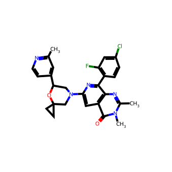 Cc1cc(C2CN(c3cc4c(=O)n(C)c(C)nc4c(-c4ccc(Cl)cc4F)n3)CC3(CC3)O2)ccn1